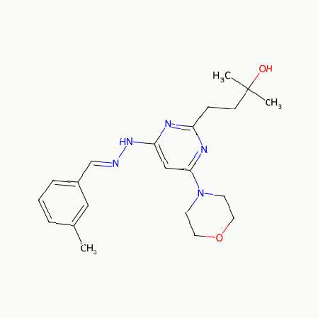 Cc1cccc(C=NNc2cc(N3CCOCC3)nc(CCC(C)(C)O)n2)c1